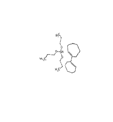 C1=C(C2=CCCCCC2)CCCCC1.CCCO[SiH](OCCC)OCCC